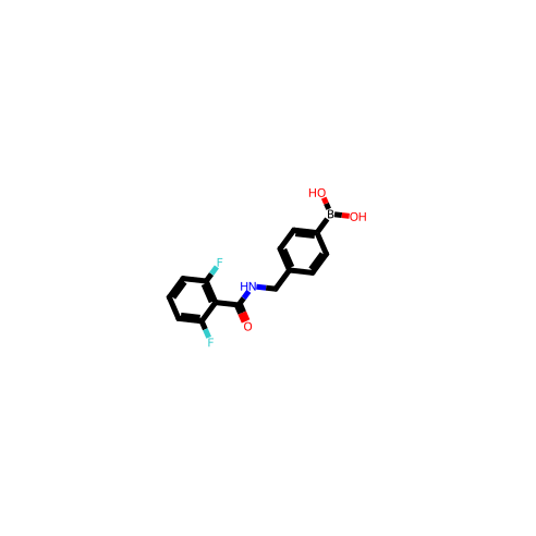 O=C(NCc1ccc(B(O)O)cc1)c1c(F)cccc1F